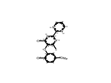 COc1ccc(Cl)c(Oc2c(C)nc(-c3ncccn3)nc2Cl)c1